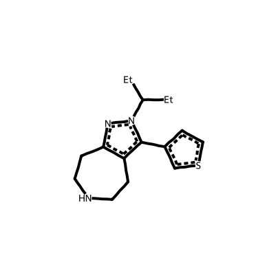 CCC(CC)n1nc2c(c1-c1ccsc1)CCNCC2